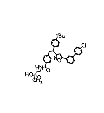 CC(C)(C)c1ccc(C(Cc2ccc(C(=O)NCCP(C)(=O)O)cc2)c2cc(-c3cccc(-c4ccc(Cl)cc4)c3)on2)cc1